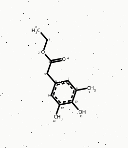 CCOC(=O)Cc1cc(C)c(O)c(C)c1